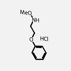 CONCCOc1ccccc1.Cl